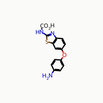 Nc1ccc(Oc2ccc3nc(NC(=O)O)sc3c2)cc1